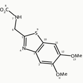 COc1cc2nc(CNC(=O)O)sc2cc1OC